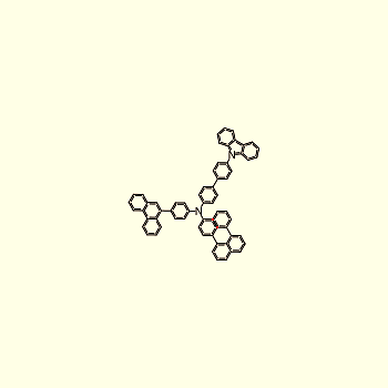 c1ccc(-c2cccc3cccc(-c4ccc(N(c5ccc(-c6ccc(-n7c8ccccc8c8ccccc87)cc6)cc5)c5ccc(-c6cc7ccccc7c7ccccc67)cc5)cc4)c23)cc1